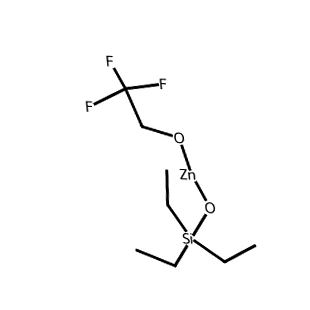 CC[Si](CC)(CC)[O][Zn][O]CC(F)(F)F